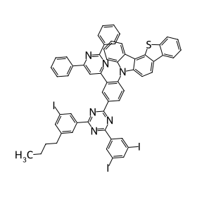 CCCCc1cc(I)cc(-c2nc(-c3cc(I)cc(I)c3)nc(-c3ccc(-n4c5ccccc5c5c6sc7ccccc7c6ccc54)c(-c4cc(-c5ccccc5)nc(-c5ccccc5)n4)c3)n2)c1